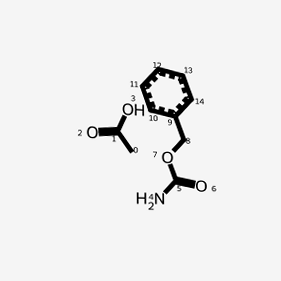 CC(=O)O.NC(=O)OCc1ccccc1